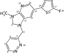 CN1CN(Cc2cccnn2)c2cc(-c3ccc(F)s3)cnc21